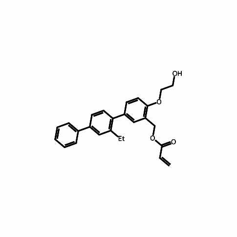 C=CC(=O)OCc1cc(-c2ccc(-c3ccccc3)cc2CC)ccc1OCCO